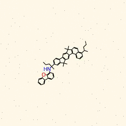 CCCC(C)c1cccc2c3c(ccc12)C(C)(C)c1cc2c(cc1-3)C(C)(C)c1cc(C(C)(CCC)Nc3cccc4c3oc3ccccc34)ccc1-2